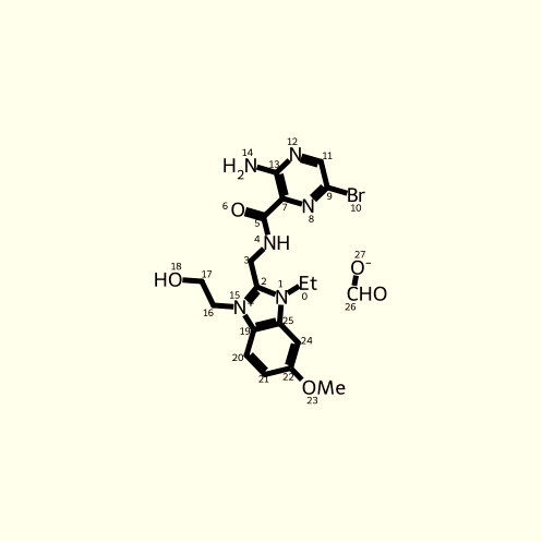 CCn1c(CNC(=O)c2nc(Br)cnc2N)[n+](CCO)c2ccc(OC)cc21.O=C[O-]